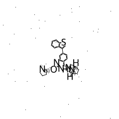 CN1CCC[C@H]1COc1nc(N2C[C@H]3CC[C@@H](C2)N3)c2ccc(-c3csc4ccccc34)cc2n1